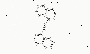 C(#Cc1cccc2ccccc12)c1c[c]cc2ccccc12